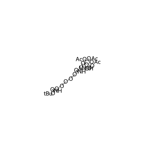 COC(=O)[C@H]1OC(Oc2ccc(NC(=O)COCCOCCOCCOCCONC(=O)OC(C)(C)C)cc2CO)C(OC(C)=O)C(OC(C)=O)C1OC(C)=O